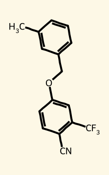 Cc1cccc(COc2ccc(C#N)c(C(F)(F)F)c2)c1